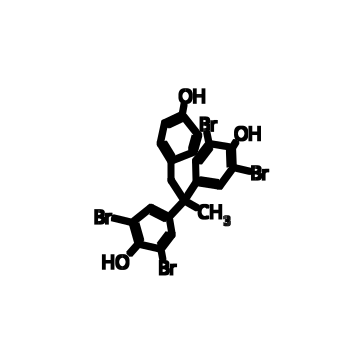 CC(Cc1ccc(O)cc1)(c1cc(Br)c(O)c(Br)c1)c1cc(Br)c(O)c(Br)c1